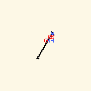 CCN(CC)CC(=O)OCCNC(=O)CCCCCCCCCCCCCCC(C)C